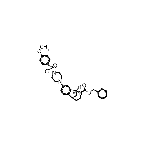 COc1ccc(S(=O)(=O)N2CCN(c3ccc4c(c3)[C@H]3CC4CCN3C(=O)OCc3ccccc3)CC2)cc1